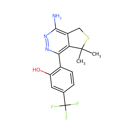 CC1(C)SCc2c(N)nnc(-c3ccc(C(F)(F)F)cc3O)c21